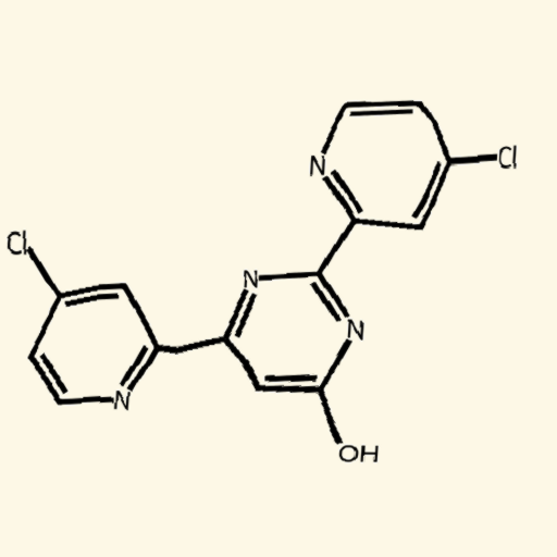 Oc1cc(-c2cc(Cl)ccn2)nc(-c2cc(Cl)ccn2)n1